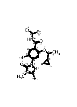 CCc1nn(-c2cc(OC(C)C3CC3)c(C(=O)NC(CC)CC)cc2F)c(=O)n1C